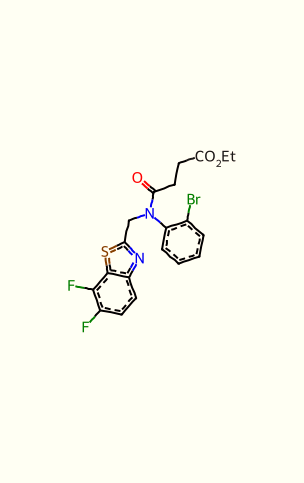 CCOC(=O)CCC(=O)N(Cc1nc2ccc(F)c(F)c2s1)c1ccccc1Br